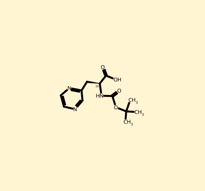 CC(C)(C)OC(=O)N[C@@H](Cc1cnccn1)C(=O)O